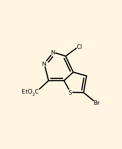 CCOC(=O)c1nnc(Cl)c2cc(Br)sc12